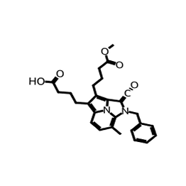 COC(=O)CCCc1c(CCCC(=O)O)c2ccc(C)c3n(Cc4ccccc4)c(=C=O)c1n23